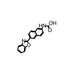 O=C(O)Nc1ccc2cc(-c3nc4ccccc4o3)ccc2c1